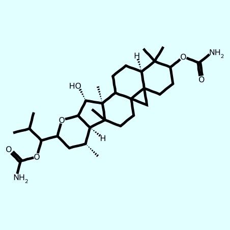 CC(C)C(OC(N)=O)C1C[C@@H](C)[C@H]2C(O1)[C@H](O)[C@@]1(C)C3CC[C@H]4C(C)(C)C(OC(N)=O)CCC45CC35CCC21C